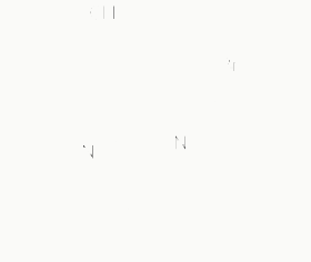 Cc1ccc(-c2nc3ccccc3c3cc4ccc(Br)cn4c23)cc1